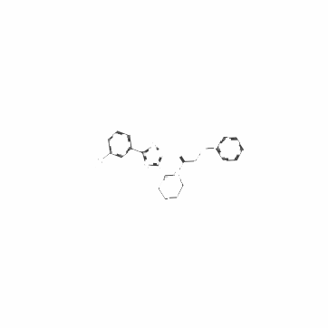 Nc1cccc(-c2noc([C@H]3CCCCN3C(=O)COc3ccccc3)n2)c1